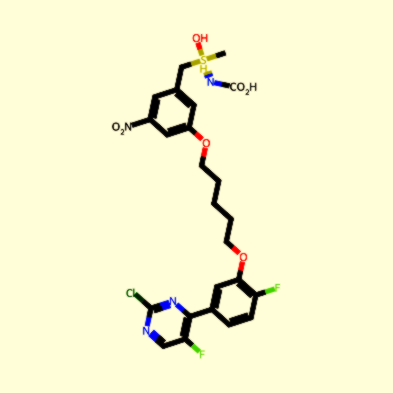 C[SH](O)(Cc1cc(OCCCCCOc2cc(-c3nc(Cl)ncc3F)ccc2F)cc([N+](=O)[O-])c1)=NC(=O)O